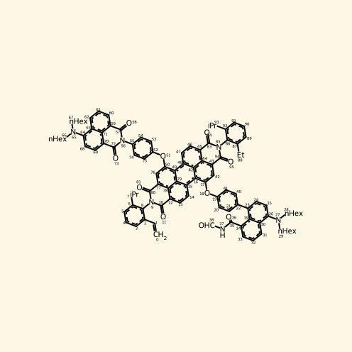 C=Cc1cccc(C(C)C)c1N1C(=O)c2ccc3c4c(Oc5ccc(-c6ccc(N(CCCCCC)CCCCCC)c7cccc(C(=O)NC=O)c67)cc5)cc5c6c(ccc(c7c(Oc8ccc(N9C(=O)c%10cccc%11c(N(CCCCCC)CCCCCC)ccc(c%10%11)C9=O)cc8)cc(c2c37)C1=O)c64)C(=O)N(c1c(CC)cccc1C(C)C)C5=O